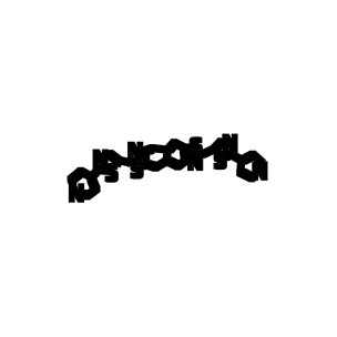 c1cc(-c2ncc(-c3nc4cc5cc6sc(-c7cnc(-c8ccncc8)s7)nc6cc5cc4s3)s2)ccn1